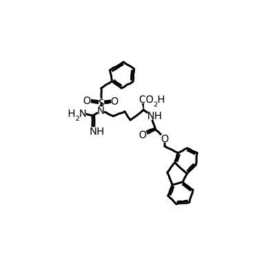 N=C(N)N(CCC[C@H](NC(=O)OCc1cccc2c1Cc1ccccc1-2)C(=O)O)S(=O)(=O)Cc1ccccc1